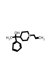 C=CCN1CCC(C(C)(O)c2ccccc2)CC1